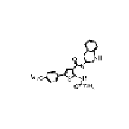 COc1ccc(-c2cc(C(=O)NC3CNc4ccccc4C3)c(NC(N)=O)s2)cc1